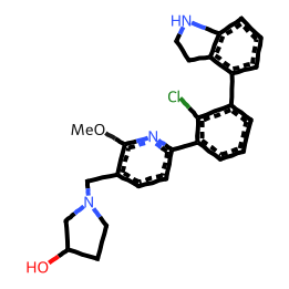 COc1nc(-c2cccc(-c3cccc4c3CCN4)c2Cl)ccc1CN1CCC(O)C1